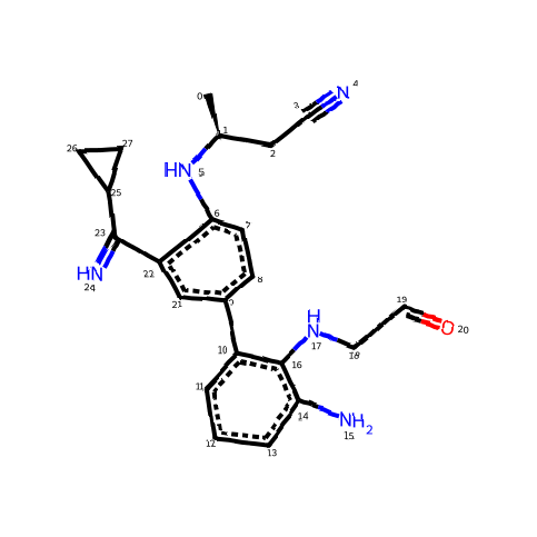 C[C@@H](CC#N)Nc1ccc(-c2cccc(N)c2NCC=O)cc1C(=N)C1CC1